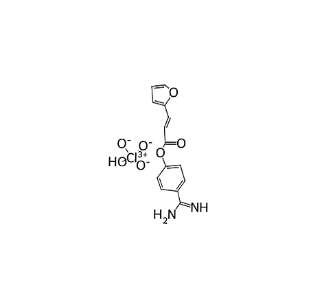 N=C(N)c1ccc(OC(=O)C=Cc2ccco2)cc1.[O-][Cl+3]([O-])([O-])O